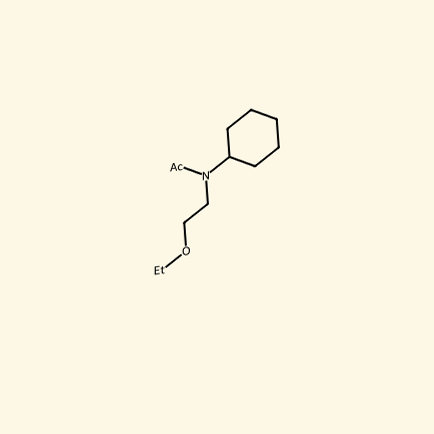 CCOCCN(C(C)=O)C1CCCCC1